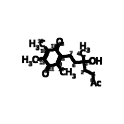 CC(=O)CCC(C)(O)CCC1=C(C)C(=O)C(C)=C(C)C1=O